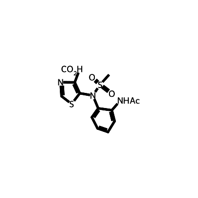 CC(=O)Nc1ccccc1N(c1scnc1C(=O)O)S(C)(=O)=O